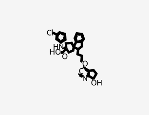 O=C(O)C1(Nc2cccc(Cl)c2)CCC2(CC1)c1ccccc1CC2CCCOc1ccnc2c1CCC2O